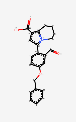 O=Cc1cc(OCc2ccccc2)ccc1-c1cc(C(=O)O)c2n1CCCC2